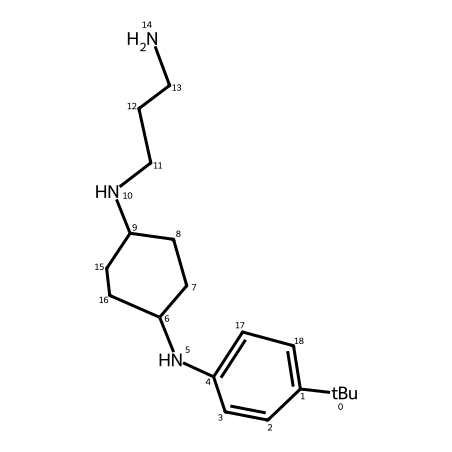 CC(C)(C)c1ccc(NC2CCC(NCCCN)CC2)cc1